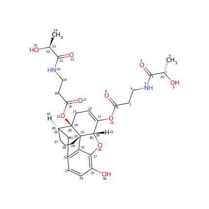 C[C@H](O)C(=O)NCCC(=O)OC1=CC[C@@]2(OC(=O)CCNC(=O)[C@H](C)O)[C@@H]3CCC[C@@]24c2c(ccc(O)c2O[C@@H]14)C3